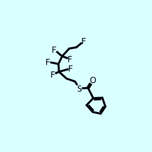 O=C(SCCC(F)(F)C(F)C(F)(F)CCF)c1ccccc1